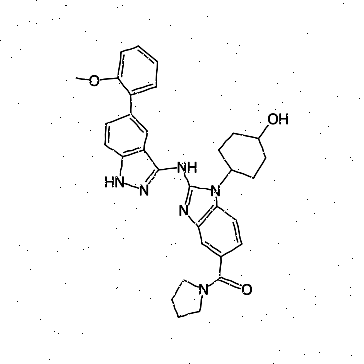 COc1ccccc1-c1ccc2[nH]nc(Nc3nc4cc(C(=O)N5CCCC5)ccc4n3C3CCC(O)CC3)c2c1